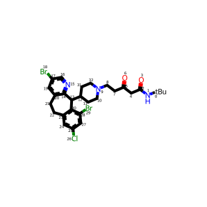 CC(C)(C)NC(=O)CC(=O)CCN1CCC(C2c3ncc(Br)cc3CCc3cc(Cl)cc(Br)c32)CC1